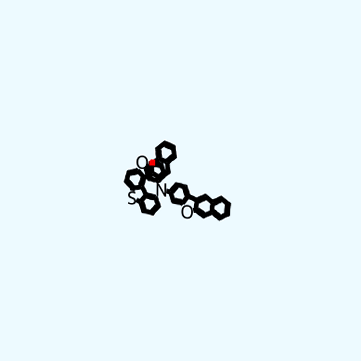 c1ccc(N(c2ccc3c(c2)oc2cc4ccccc4cc23)c2cccc3sc4ccc5oc6c7ccccc7ccc6c5c4c23)cc1